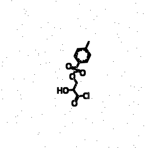 Cc1ccc(S(=O)(=O)OCC(O)C(=O)Cl)cc1